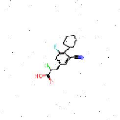 N#Cc1cc(CC(Cl)C(=O)O)cc(F)c1C1CCCCC1